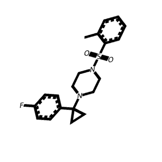 Cc1ccccc1S(=O)(=O)N1CCN(C2(c3ccc(F)cc3)CC2)CC1